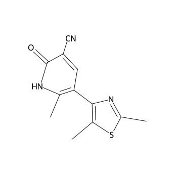 Cc1nc(-c2cc(C#N)c(=O)[nH]c2C)c(C)s1